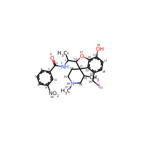 CC(NC(=O)c1cccc([N+](=O)[O-])c1)C1Oc2c(O)ccc(CI)c2C12CCN(C)CC2C